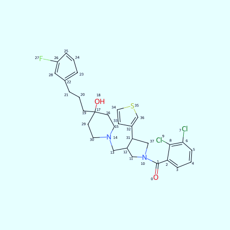 O=C(c1cccc(Cl)c1Cl)N1CC(CN2CCC(O)(CCCc3cccc(F)c3)CC2)C(c2ccsc2)C1